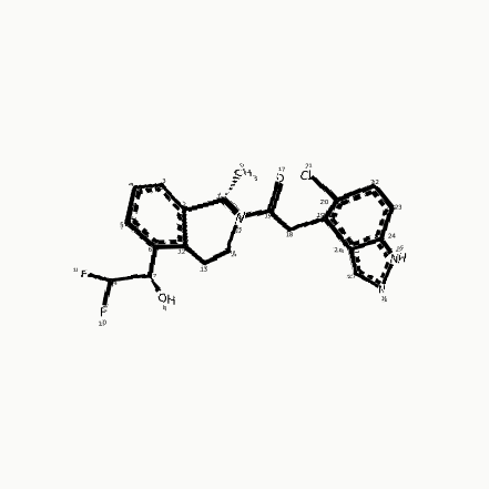 C[C@H]1c2cccc([C@@H](O)C(F)F)c2CCN1C(=O)Cc1c(Cl)ccc2[nH]ncc12